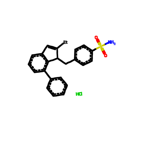 CCC1=Cc2cccc(-c3ccccc3)c2C1Cc1ccc(S(N)(=O)=O)cc1.Cl